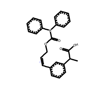 CC(C(=O)O)c1cccc(/C=C\COC(=O)N(c2ccccc2)c2ccccc2)c1